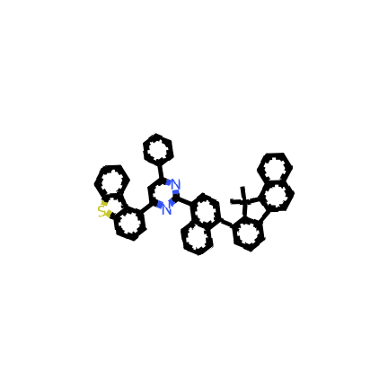 CC1(C)c2c(cccc2-c2ccc(-c3nc(-c4ccccc4)cc(-c4cccc5sc6ccccc6c45)n3)c3ccccc23)-c2ccc3ccccc3c21